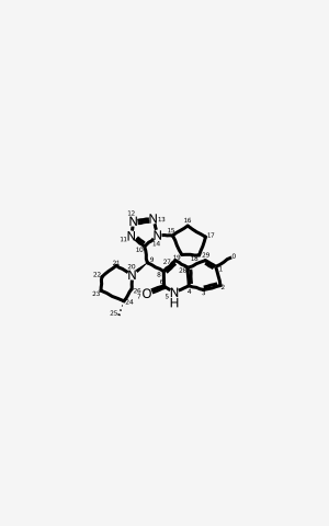 Cc1ccc2[nH]c(=O)c([C@H](c3nnnn3C3CCCC3)N3CCC[C@@H](C)C3)cc2c1